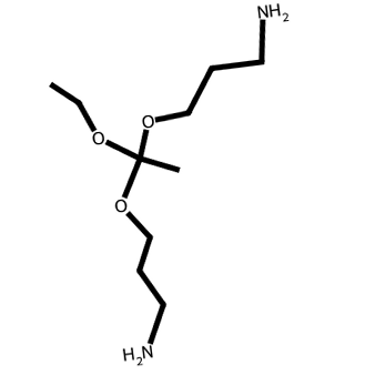 CCOC(C)(OCCCN)OCCCN